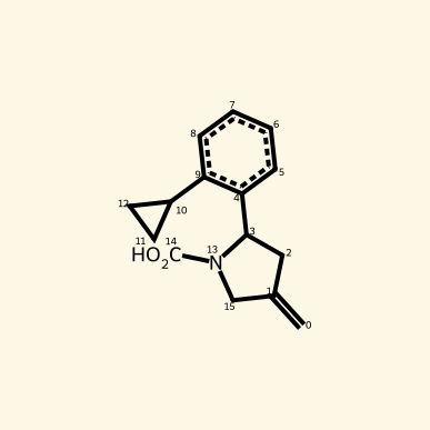 C=C1CC(c2ccccc2C2CC2)N(C(=O)O)C1